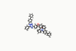 c1ccc(-c2ccc(C[N+]3=NC(c4ccc5c(c4)oc4cccc(-c6ccccc6-n6c7ccccc7c7cc(-c8ccccc8)ccc76)c45)=NC3c3ccccc3)cc2)cc1